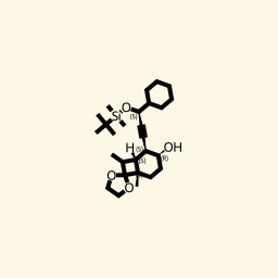 CC1[C@@H]2[C@@H](C#C[C@@H](O[Si](C)(C)C(C)(C)C)C3CCCCC3)[C@H](O)CC[C@]2(C)C12OCCO2